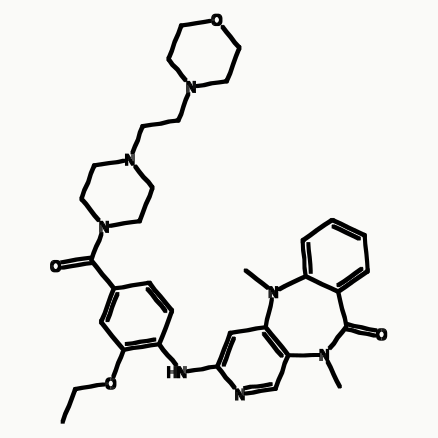 CCOc1cc(C(=O)N2CCN(CCN3CCOCC3)CC2)ccc1Nc1cc2c(cn1)N(C)C(=O)c1ccccc1N2C